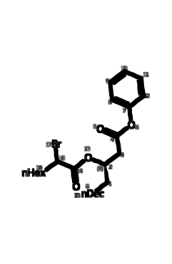 CCCCCCCCCCC[C@H](CC(=O)Oc1ccccc1)OC(=O)C(Br)CCCCCC